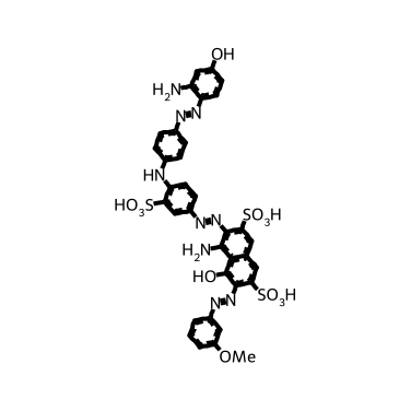 COc1cccc(N=Nc2c(S(=O)(=O)O)cc3cc(S(=O)(=O)O)c(N=Nc4ccc(Nc5ccc(N=Nc6ccc(O)cc6N)cc5)c(S(=O)(=O)O)c4)c(N)c3c2O)c1